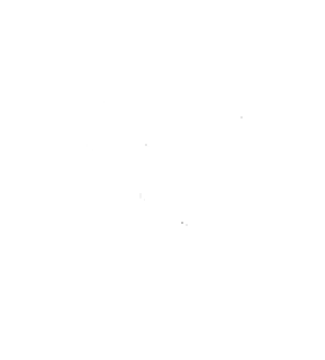 Cc1ccccc1-n1c(=O)nc(NCC(F)(F)F)c2ccc(C(F)(F)F)cc21